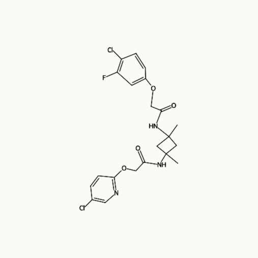 CC1(NC(=O)COc2ccc(Cl)c(F)c2)CC(C)(NC(=O)COc2ccc(Cl)cn2)C1